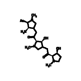 CC(=O)[C@@H]1[C@@H](N)C(CC(=O)[C@@H]2[C@H](O)C(CC(=O)[C@@H]3[C@@H](O)CCN3C)CN2C)CN1C